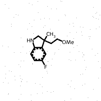 COCCC1(C)CNc2ccc(F)cc21